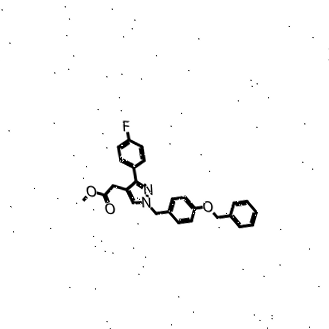 COC(=O)Cc1cn(Cc2ccc(OCc3ccccc3)cc2)nc1-c1ccc(F)cc1